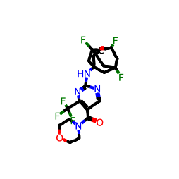 O=C(c1cnc(NC23CCC4(F)CC(F)(CC(F)(C4)C2)C3)nc1C(F)(F)F)N1CCOCC1